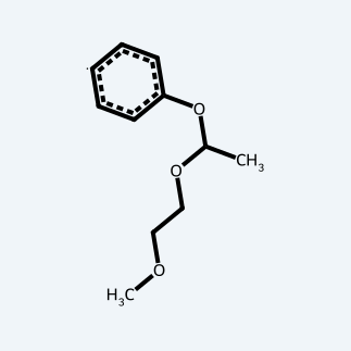 COCCOC(C)Oc1cc[c]cc1